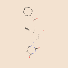 C#C[C@]1(COC(=O)c2ccccc2)O[C@H](n2cc(C)c(=O)[nH]c2=O)C[C@H]1O